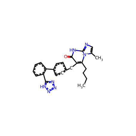 CCCCC1=C(Cc2ccc(-c3ccccc3-c3nnn[nH]3)cc2)C(=O)NC2=NC=C(C)[N+]21